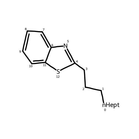 CCCCCCCCCCc1nc2ccccc2s1